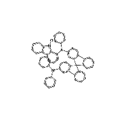 Cn1c2ccccc2c2cccc(N(c3ccccc3)c3ccc4c(c3)C3(c5ccccc5-c5cc(N(c6ccccc6)c6ccccc6)ccc53)c3ccccc3-4)c21